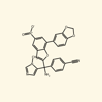 Cn1cncc1C(N)(c1ccc(C#N)cc1)c1cc2cc([N+](=O)[O-])cc(-c3ccc4c(c3)OCO4)c2o1